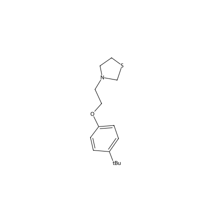 CC(C)(C)c1ccc(OCCN2CCSC2)cc1